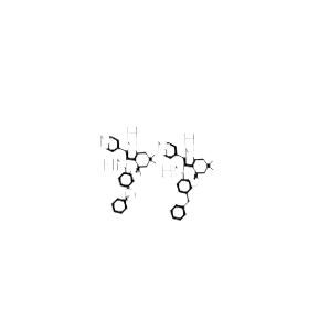 CC1(C)CC(=O)c2c([nH]c(-c3ccncc3)c2Nc2ccc(Cc3ccccc3)cc2)C1.CC1(C)CC(=O)c2c([nH]c(-c3ccncc3)c2Nc2ccc(Oc3ccccc3)cc2)C1